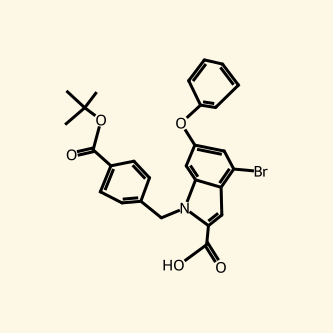 CC(C)(C)OC(=O)c1ccc(Cn2c(C(=O)O)cc3c(Br)cc(Oc4ccccc4)cc32)cc1